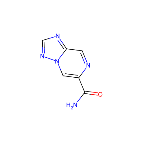 NC(=O)c1cn2ncnc2cn1